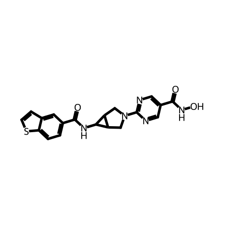 O=C(NO)c1cnc(N2CC3C(C2)C3NC(=O)c2ccc3sccc3c2)nc1